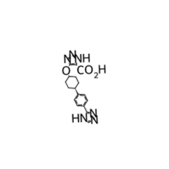 O=C(O)c1[nH]nnc1O[C@H]1CC[C@H](c2ccc(-c3nnc[nH]3)cc2)CC1